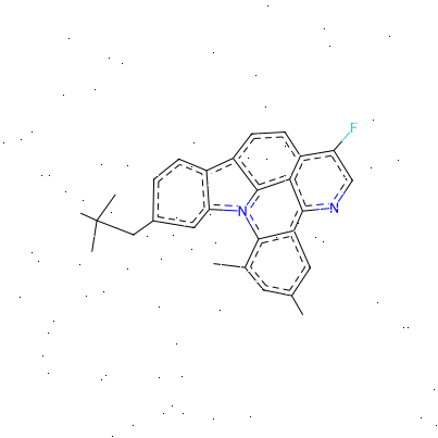 Cc1cc(C)c2c(c1)c1ncc(F)c3ccc4c5ccc(CC(C)(C)C)cc5n2c4c31